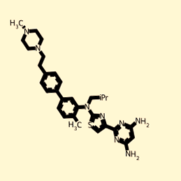 Cc1ccc(-c2ccc(CCN3CCN(C)CC3)cc2)cc1N(CC(C)C)c1nc(-c2nc(N)cc(N)n2)cs1